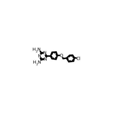 Nc1nc(N)nc(-c2ccc(OCc3ccc(Cl)cc3)cc2)n1